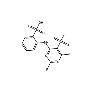 CS(=O)(=O)c1c(F)nc(F)nc1Nc1ccccc1S(=O)(=O)O